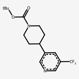 CC(C)(C)OC(=O)N1CCC(c2cncc(C(F)(F)F)c2)CC1